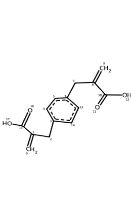 C=C(Cc1ccc(CC(=C)C(=O)O)cc1)C(=O)O